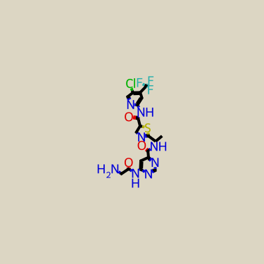 CC(NC(=O)c1cc(NC(=O)CN)ncn1)C1=NCC(C(=O)Nc2cc(C(F)(F)F)c(Cl)cn2)S1